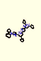 c1ccc(-c2cc(-c3ccc(-c4cc(-c5ccccc5)nc(-c5ccccc5)n4)cn3)nc(-c3ccc(-n4c5ccccc5c5ccccc54)cn3)c2)cc1